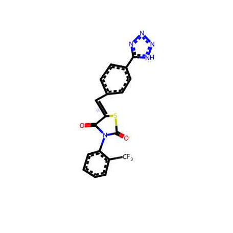 O=C1S/C(=C\c2ccc(-c3nnn[nH]3)cc2)C(=O)N1c1ccccc1C(F)(F)F